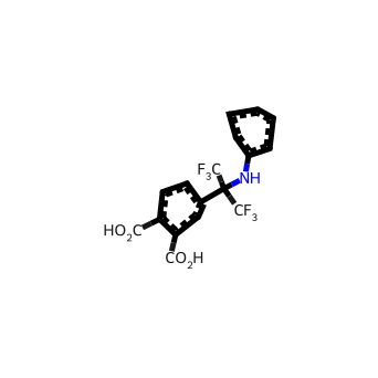 O=C(O)c1ccc(C(Nc2ccccc2)(C(F)(F)F)C(F)(F)F)cc1C(=O)O